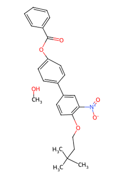 CC(C)(C)CCOc1ccc(-c2ccc(OC(=O)c3ccccc3)cc2)cc1[N+](=O)[O-].CO